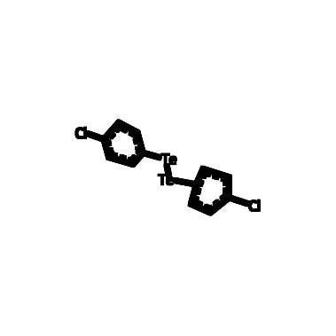 Clc1ccc([Te][Te]c2ccc(Cl)cc2)cc1